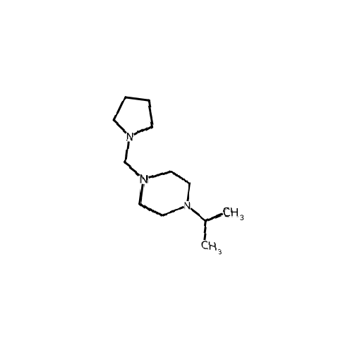 CC(C)N1CCN(CN2CCCC2)CC1